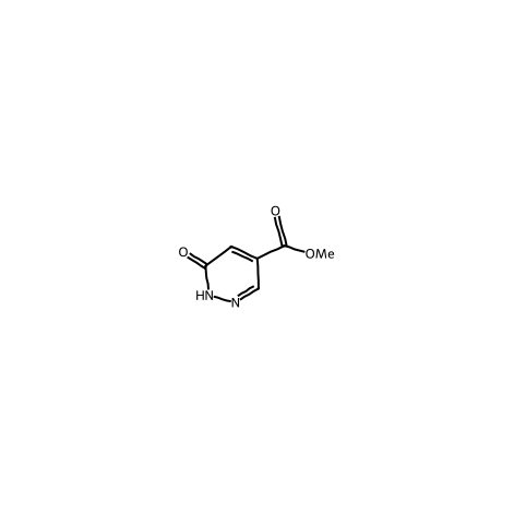 COC(=O)c1cn[nH]c(=O)c1